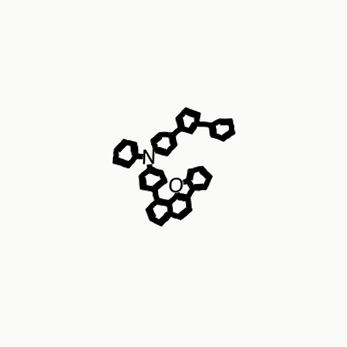 c1ccc(-c2cccc(-c3ccc(N(c4ccccc4)c4ccc(-c5cccc6ccc7c8ccccc8oc7c56)cc4)cc3)c2)cc1